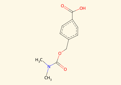 CN(C)C(=O)OCc1ccc(C(=O)O)cc1